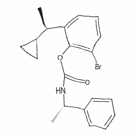 C[C@H](NC(=O)Oc1c(Br)cccc1[C@H](C)C1CC1)c1ccccc1